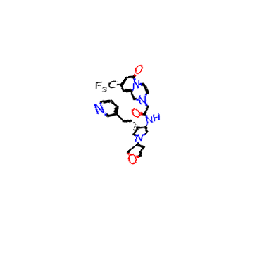 O=C(CN1CCn2c(cc(C(F)(F)F)cc2=O)C1)NC1CN(C2CCOC2)C[C@@H]1CCc1cccnc1